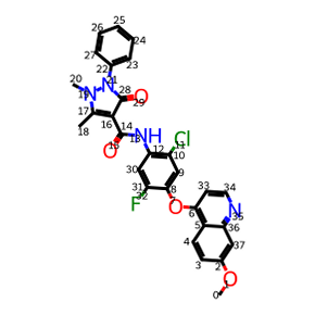 COc1ccc2c(Oc3cc(Cl)c(NC(=O)c4c(C)n(C)n(-c5ccccc5)c4=O)cc3F)ccnc2c1